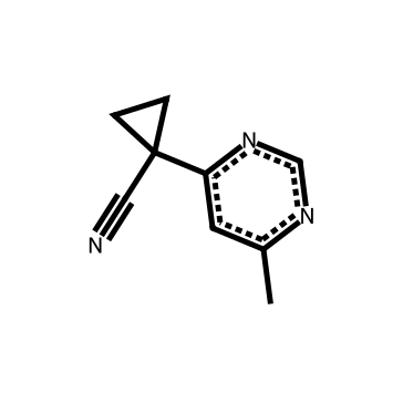 Cc1cc(C2(C#N)CC2)ncn1